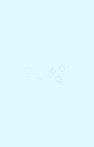 CC(C)[C@H](NC(=O)OCc1ccccc1)C(=O)Nc1n[nH]c(-c2ccc(F)cc2)c1-c1ccncc1